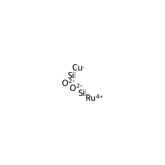 [Cu].[O-2].[O-2].[Ru+4].[Si].[Si]